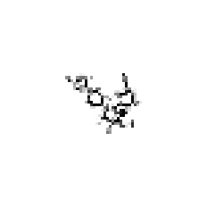 Cc1nc(-c2ccc([C@H]3C(=O)N(C)C(=N)N[C@]3(C)c3cccc(C#N)c3)cc2)cs1